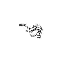 CNCc1ccccc1-c1csc(C(C)Nc2nc(C)nc3cc(OCCCCCCC(C)(C)C)c(OC)cc23)c1